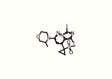 CC1COCCN1c1cc(C2(S(C)(=O)=O)CC2)c2c(I)nc(I)n2n1